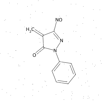 C=C1C(=O)N(c2ccccc2)N=C1N=O